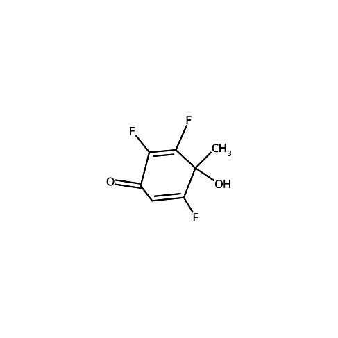 CC1(O)C(F)=CC(=O)C(F)=C1F